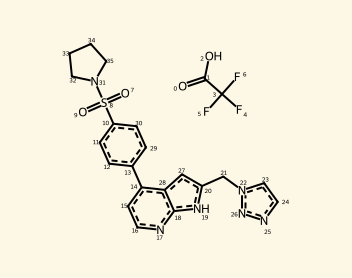 O=C(O)C(F)(F)F.O=S(=O)(c1ccc(-c2ccnc3[nH]c(Cn4ccnn4)cc23)cc1)N1CCCC1